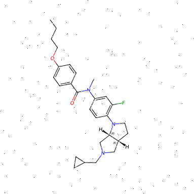 CCCCOc1ccc(C(=O)N(C)c2ccc(N3CC[C@@H]4CN(CC5CC5)C[C@@H]43)c(F)c2)cc1